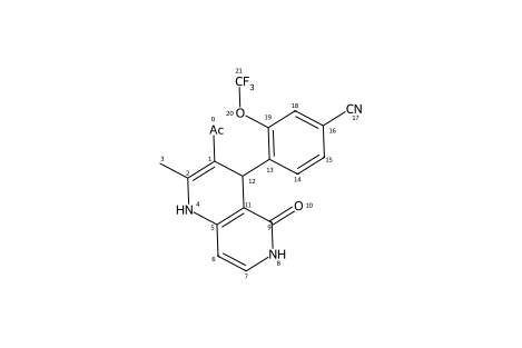 CC(=O)C1=C(C)Nc2cc[nH]c(=O)c2C1c1ccc(C#N)cc1OC(F)(F)F